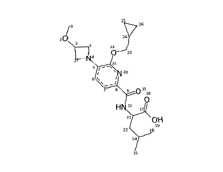 COC1CN(c2ccc(C(=O)NC(CC(C)C)C(=O)O)nc2OCC2CC2)C1